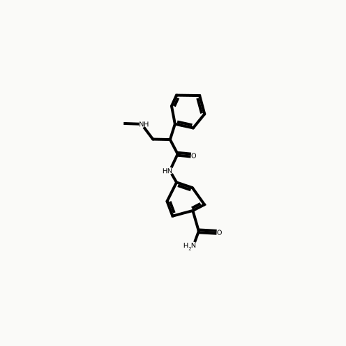 CNCC(C(=O)Nc1ccc(C(N)=O)cc1)c1ccccc1